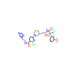 COc1cccc(C(O)(C(=O)N(C)CCCC2CCCN(c3ccc(C(=O)N(C)CCn4cncn4)c(Cl)n3)C2)C(F)(F)F)c1